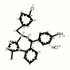 Cc1nnc2n1-c1ccccc1C(c1ccc(N)cc1)=NN2Cc1ccc(Cl)cc1.Cl